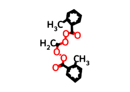 C=C(OOC(=O)c1ccccc1C)OOC(=O)c1ccccc1C